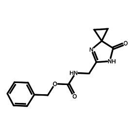 O=C(NCC1=NC2(CC2)C(=O)N1)OCc1ccccc1